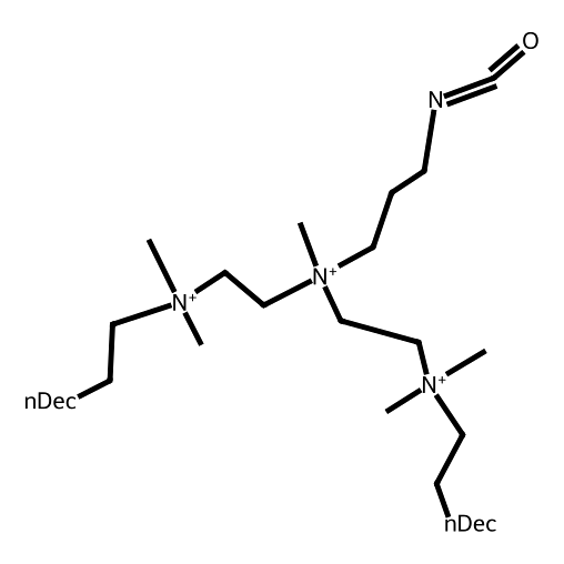 CCCCCCCCCCCC[N+](C)(C)CC[N+](C)(CCCN=C=O)CC[N+](C)(C)CCCCCCCCCCCC